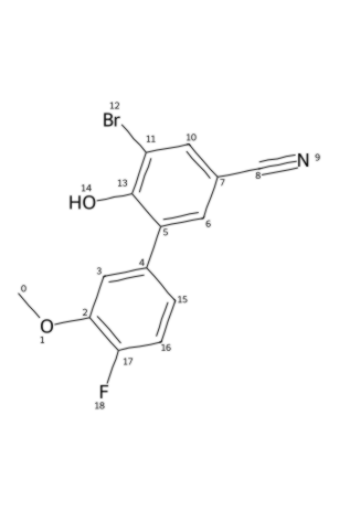 COc1cc(-c2cc(C#N)cc(Br)c2O)ccc1F